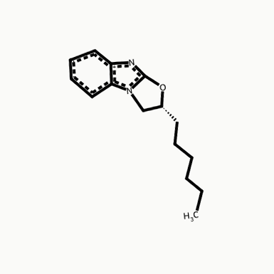 CCCCCC[C@@H]1Cn2c(nc3ccccc32)O1